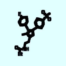 CCC(=O)NCCc1cc(-c2ccc(S(C)(=O)=O)cc2)n(-c2ccc(F)cc2)c1C